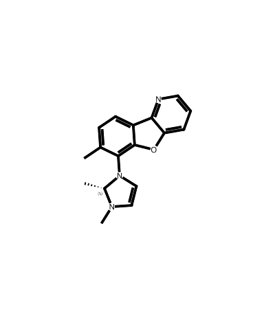 Cc1ccc2c(oc3cccnc32)c1N1C=CN(C)[C@@H]1C